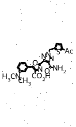 CC(=O)c1ccc(Cn2nc(C(N)=O)c(-c3nc(C(=O)O)c(-c4cccc(N(C)C)c4)o3)n2)s1